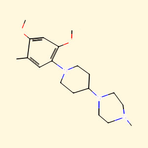 COc1cc(OC)c(N2CCC(N3CCN(C)CC3)CC2)cc1C